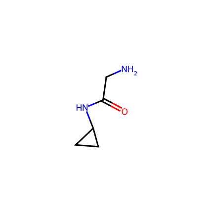 NCC(=O)NC1CC1